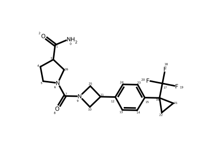 NC(=O)C1CCN(C(=O)N2CC(c3ccc(C4(C(F)(F)F)CC4)cc3)C2)C1